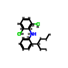 CCCC(CC)c1ccccc1Nc1c(Cl)cccc1Cl